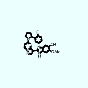 COc1cc2[nH]c(-c3cnn4ccc(N5CCCC5c5ccccc5F)nc34)nc2cc1C#N